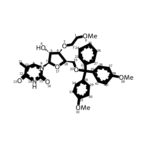 COCCO[C@H]1[C@@H](O)[C@H](n2cc(C)c(=O)[nH]c2=O)O[C@@H]1COC(c1ccccc1)(c1ccc(OC)cc1)c1ccc(OC)cc1